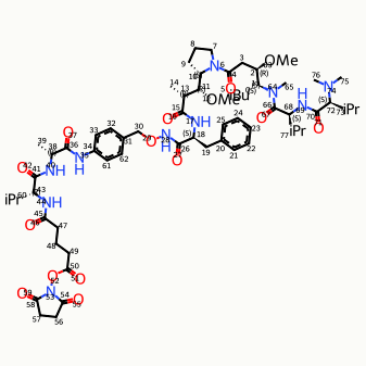 CC[C@H](C)[C@@H]([C@@H](CC(=O)N1CCC[C@H]1[C@H](OC)[C@@H](C)C(=O)N[C@@H](Cc1ccccc1)C(=O)NOCc1ccc(NC(=O)[C@@H](C)NC(=O)[C@H](NC(=O)CCCC(=O)ON2C(=O)CCC2=O)C(C)C)cc1)OC)N(C)C(=O)[C@@H](NC(=O)[C@H](C(C)C)N(C)C)C(C)C